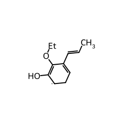 CC=CC1=CC[CH]C(O)=C1OCC